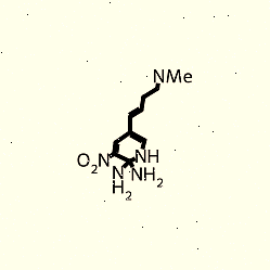 CNCC/C=C/C1=CNC(N)(N)C([N+](=O)[O-])=C1